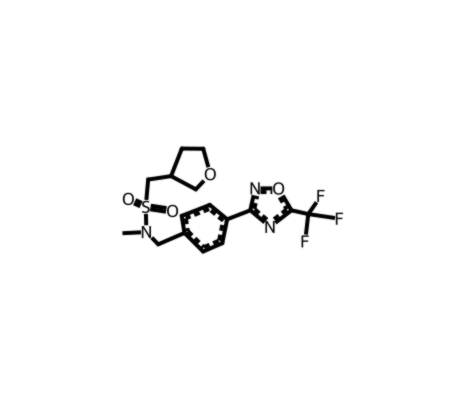 CN(Cc1ccc(-c2noc(C(F)(F)F)n2)cc1)S(=O)(=O)CC1CCOC1